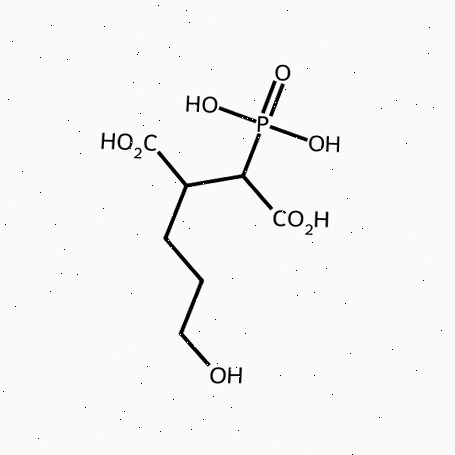 O=C(O)C(CCCO)C(C(=O)O)P(=O)(O)O